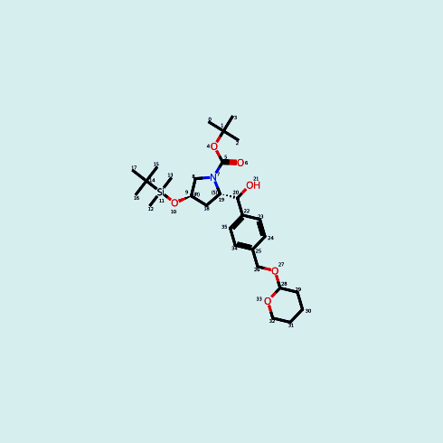 CC(C)(C)OC(=O)N1C[C@H](O[Si](C)(C)C(C)(C)C)C[C@H]1C(O)c1ccc(COC2CCCCO2)cc1